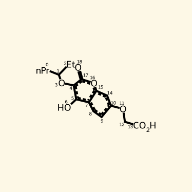 CCCC(CC)Oc1c(O)c2ccc(OCC(=O)O)cc2oc1=O